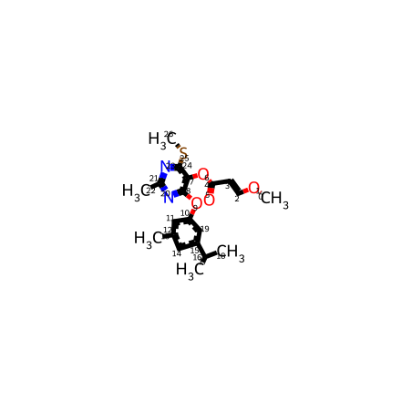 COC=CC(=O)Oc1c(Oc2cc(C)cc(C(C)C)c2)nc(C)nc1SC